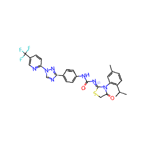 Cc1ccc(C(C)C)c(N2C(=O)CS/C2=N\C(=O)Nc2ccc(-c3ncn(-c4ccc(C(F)(F)F)cn4)n3)cc2)c1